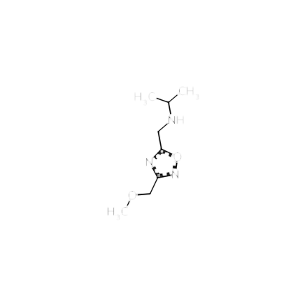 COCc1noc(CNC(C)C)n1